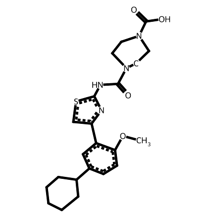 COc1ccc(C2CCCCC2)cc1-c1csc(NC(=O)N2CCN(C(=O)O)CC2)n1